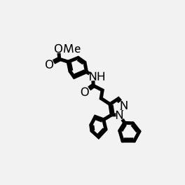 COC(=O)c1ccc(NC(=O)CCc2cnn(-c3ccccc3)c2-c2ccccc2)cc1